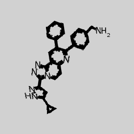 NCc1ccc(-c2nc3ccn4c(-c5cc(C6CC6)[nH]n5)nnc4c3cc2-c2ccccc2)cc1